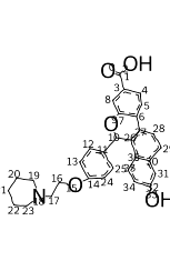 O=C(O)c1ccc2c(c1)OC(c1ccc(OCCN3CCCCC3)cc1)c1c-2ccc2cc(O)ccc12